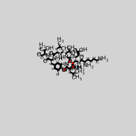 CC(C)C[C@H](NC[C@@H](NC(=O)[C@H](CC(N)=O)NC(=O)[C@H](CC(C)C)NC(=O)[C@H](CCC(=O)O)NC(=O)[C@@H](N)CCCCN)C(C)C)C(=O)N[C@@H](Cc1ccc(O)c(I)c1)C(=O)N[C@H](C=O)[C@@H](C)O